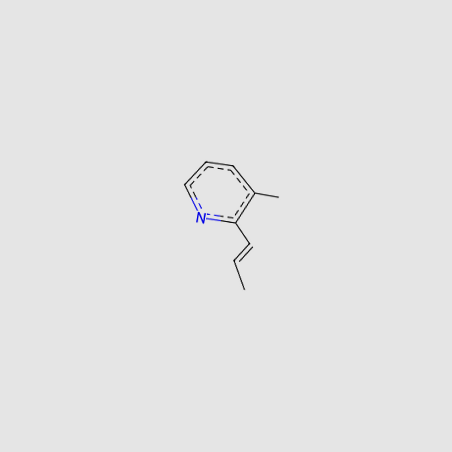 CC=Cc1ncccc1C